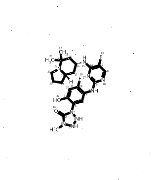 CN1NNN(c2cc(Nc3ncc(F)c(N[C@@H]4C[C@@H]5CCCN5C(C)(C)C4)n3)c(F)cc2O)C1=O